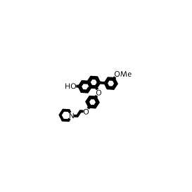 COc1cccc(-c2ccc3cc(O)ccc3c2Oc2ccc(OCCN3CCCCC3)cc2)c1